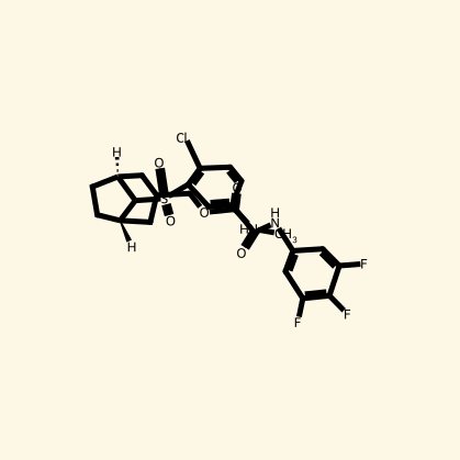 CNC(=O)OCC1C[C@@H]2CC[C@@H](C1)C2S(=O)(=O)c1cc(C(=O)Nc2cc(F)c(F)c(F)c2)ccc1Cl